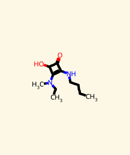 CCCCNC1=C(N(C)CC)C(O)C1=O